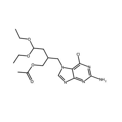 CCOC(CC(COC(C)=O)Cn1cnc2nc(N)nc(Cl)c21)OCC